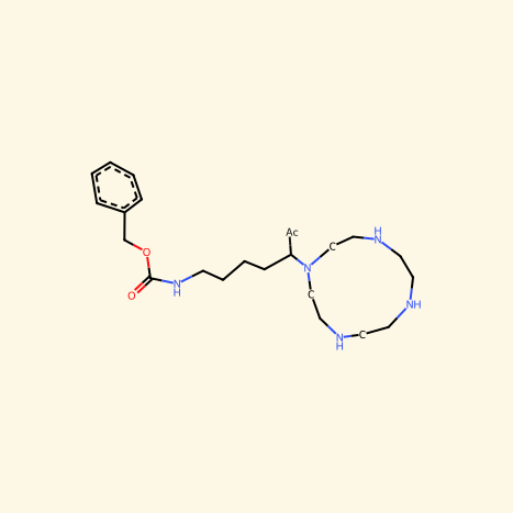 CC(=O)C(CCCCNC(=O)OCc1ccccc1)N1CCNCCNCCNCC1